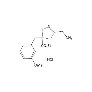 CCOC(=O)C1(Cc2cccc(OC)c2)CC(CN)=NO1.Cl